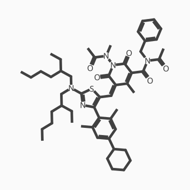 CCCCC(CC)CN(CC(CC)CCCC)c1nc(-c2c(C)cc(C3CCCCC3)cc2C)c(/C=C2\C(=O)N(N(C)C(C)=O)C(=O)C(C(=O)N(Cc3ccccc3)C(C)=O)=C2C)s1